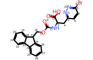 O=C(NC(Cc1ccc(Br)nn1)C(=O)O)OCC1c2ccccc2-c2ccccc21